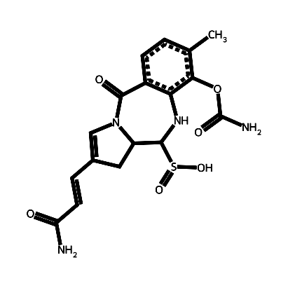 Cc1ccc2c(c1OC(N)=O)NC(S(=O)O)C1CC(/C=C/C(N)=O)=CN1C2=O